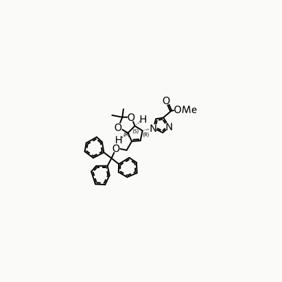 COC(=O)c1cn([C@@H]2C=C(COC(c3ccccc3)(c3ccccc3)c3ccccc3)[C@H]3OC(C)(C)O[C@H]32)cn1